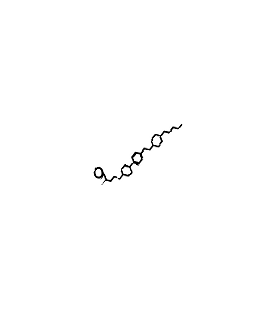 CCCCCC1CCC(CCc2ccc(C3CCC(CCCC(C)C=O)CC3)cc2)CC1